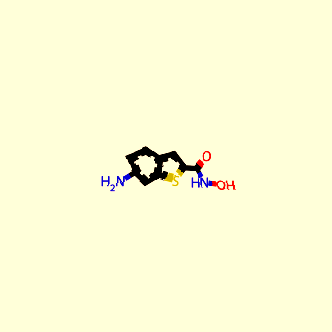 Nc1ccc2cc(C(=O)NO)sc2c1